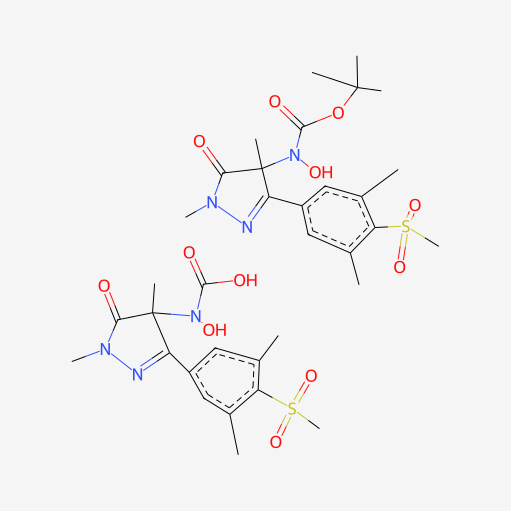 Cc1cc(C2=NN(C)C(=O)C2(C)N(O)C(=O)O)cc(C)c1S(C)(=O)=O.Cc1cc(C2=NN(C)C(=O)C2(C)N(O)C(=O)OC(C)(C)C)cc(C)c1S(C)(=O)=O